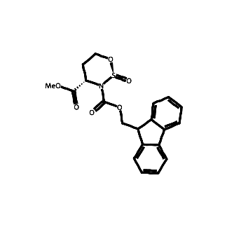 COC(=O)[C@@H]1CCO[S@@](=O)N1C(=O)OCC1c2ccccc2-c2ccccc21